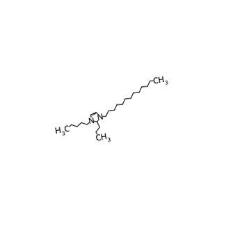 CCCCCCCCCCCCCN1C=CN(CCCCC)C1CCC